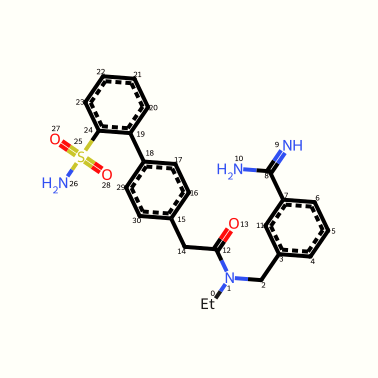 CCN(Cc1cccc(C(=N)N)c1)C(=O)Cc1ccc(-c2ccccc2S(N)(=O)=O)cc1